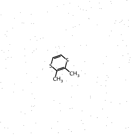 CC1=C(C)SC=CS1